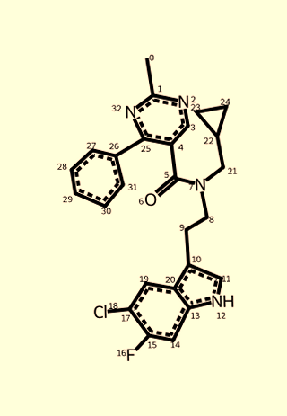 Cc1ncc(C(=O)N(CCc2c[nH]c3cc(F)c(Cl)cc23)CC2CC2)c(-c2ccccc2)n1